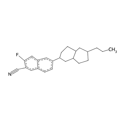 CCCC1CCC2CC(c3ccc4cc(C#N)c(F)cc4c3)CCC2C1